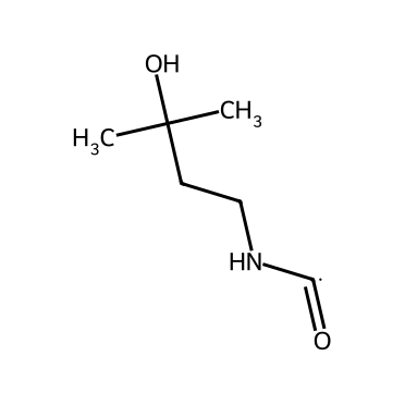 CC(C)(O)CCN[C]=O